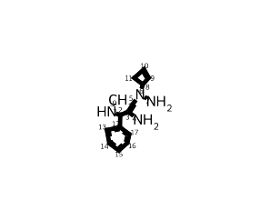 CNC(/C(N)=C/N(N)C1C=CC1)c1ccccc1